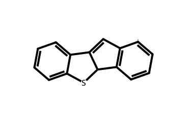 [c]1cccc2c1C=C1c3ccccc3SC12